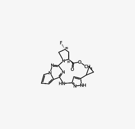 COC(=O)[C@@H]1C[C@@H](F)CN1c1nc(Nc2cc(C3CC3)[nH]n2)c2cccn2n1